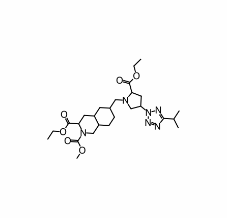 CCOC(=O)C1CC(n2nnc(C(C)C)n2)CN1CC1CCC2CN(C(=O)OC)C(C(=O)OCC)CC2C1